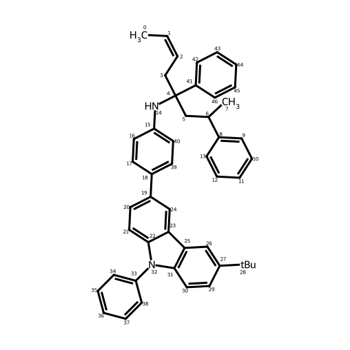 C/C=C\CC(CC(C)c1ccccc1)(Nc1ccc(-c2ccc3c(c2)c2cc(C(C)(C)C)ccc2n3-c2ccccc2)cc1)c1ccccc1